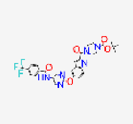 Cn1c(C(=O)N2CCN(C(=O)OC(C)(C)C)CC2)cc2cc(Oc3ncc(NC(=O)c4ccc(C(F)(F)F)cc4)cn3)ccc21